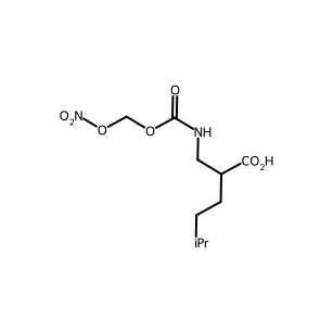 CC(C)CCC(CNC(=O)OCO[N+](=O)[O-])C(=O)O